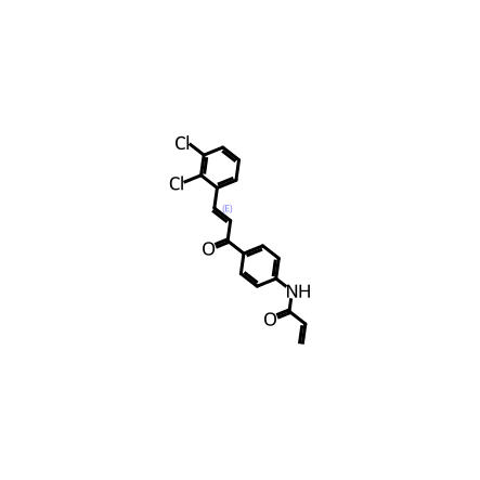 C=CC(=O)Nc1ccc(C(=O)/C=C/c2cccc(Cl)c2Cl)cc1